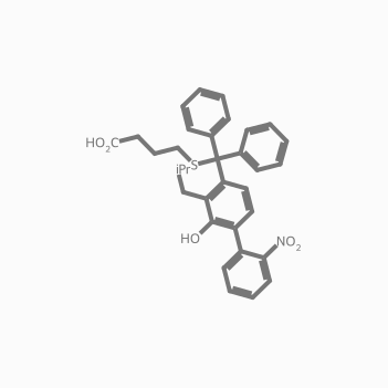 CC(C)Cc1c(C(SCCCC(=O)O)(c2ccccc2)c2ccccc2)ccc(-c2ccccc2[N+](=O)[O-])c1O